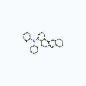 c1ccc(N(c2ccccc2)c2cccc3c2ccc2cc4ccccc4cc23)cc1